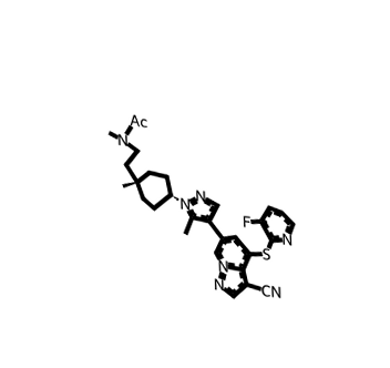 CC(=O)N(C)CC[C@]1(C)CC[C@H](n2ncc(-c3cc(Sc4ncccc4F)c4c(C#N)cnn4c3)c2C)CC1